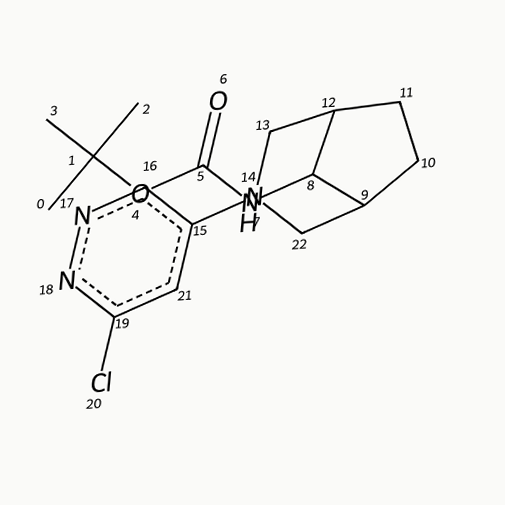 CC(C)(C)OC(=O)NC1C2CCC1CN(c1cnnc(Cl)c1)C2